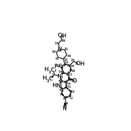 CC(C)n1c2[nH]c3cc(C#N)ccc3c2c(=O)c2cc(CO)c(C3CCN(CCO)CC3)c(F)c21